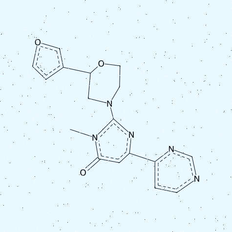 Cn1c(N2CCOC(c3ccoc3)C2)nc(-c2ccncn2)cc1=O